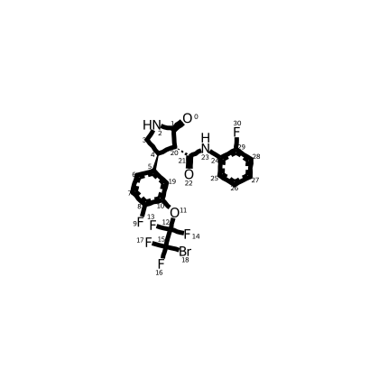 O=C1NC[C@H](c2ccc(F)c(OC(F)(F)C(F)(F)Br)c2)[C@H]1C(=O)Nc1ccccc1F